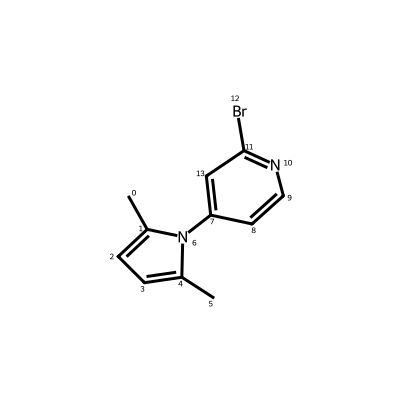 Cc1ccc(C)n1-c1ccnc(Br)c1